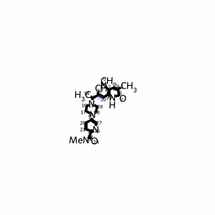 C=Nc1cc(C)c(=O)[nH]c1/C=C(\C)C(C)N1CCN(c2ccc(C(=O)NC)nc2)CC1